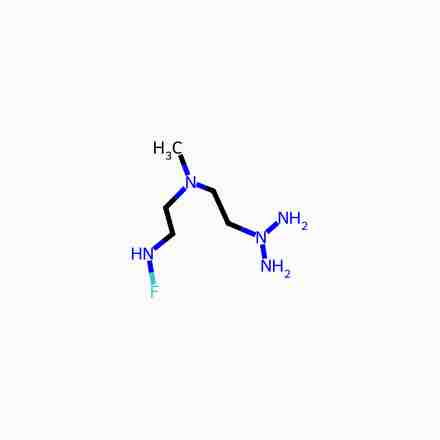 CN(CCNF)CCN(N)N